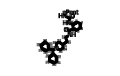 CCCCCNC(=O)Nc1ccccc1C(=O)NCCC1CCN(C(c2ccccc2)c2ccccc2)CC1